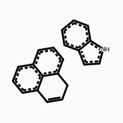 C1=Cc2cccc3cccc(c23)C1.c1ccc2[nH]ccc2c1